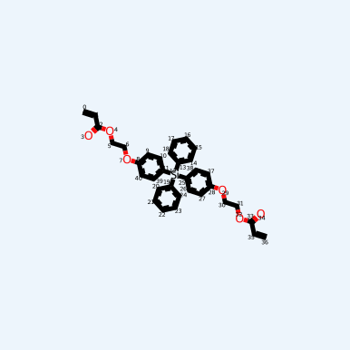 C=CC(=O)OCCOc1ccc([Si](c2ccccc2)(c2ccccc2)c2ccc(OCCOC(=O)C=C)cc2)cc1